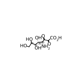 N[C@@H](C(=O)C(=O)C(=O)O)[C@@H](O)[C@H](O)[C@H](O)CO